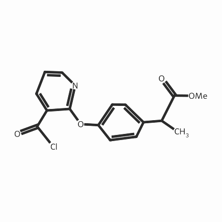 COC(=O)C(C)c1ccc(Oc2ncccc2C(=O)Cl)cc1